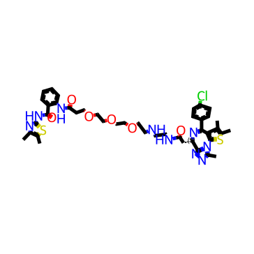 Cc1nc(NC(=O)c2ccccc2NC(=O)CCOCCOCCOCCNCCNC(=O)C[C@@H]2N=C(c3ccc(Cl)cc3)c3c(sc(C)c3C)-n3c(C)nnc32)sc1C